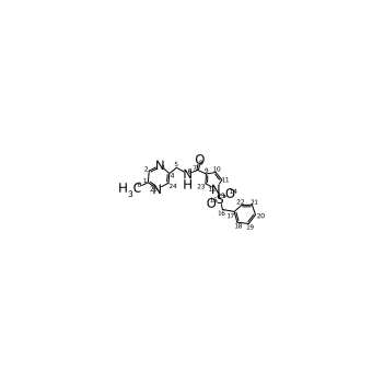 Cc1cnc(CNC(=O)c2ccn(S(=O)(=O)Cc3ccccc3)c2)cn1